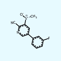 C[S@@+]([O-])c1cc(-c2cccc(F)c2)cnc1C#N